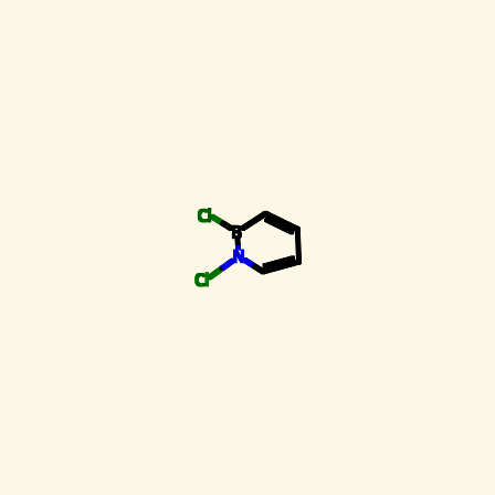 ClB1C=CC=CN1Cl